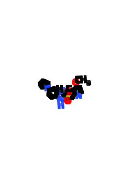 COc1ccnc(CS(=O)(=O)c2nc3cc(-n4cccc4)ccc3[nH]2)c1C